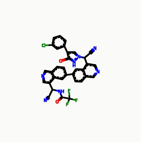 N#CC(NC(=O)C(F)(F)F)c1cncc2ccc(-c3ccc4cncc(C(C#N)n5cc(-c6cccc(Cl)c6)c(=O)[nH]5)c4c3)cc12